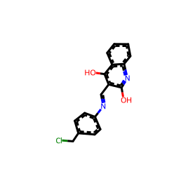 Oc1nc2ccccc2c(O)c1/C=N/c1ccc(CCl)cc1